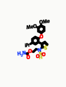 COc1ccc(Oc2ccc(C(C)C)cc2-c2ccsc2N(CCOC(N)=O)[SH](=O)=O)cc1OC